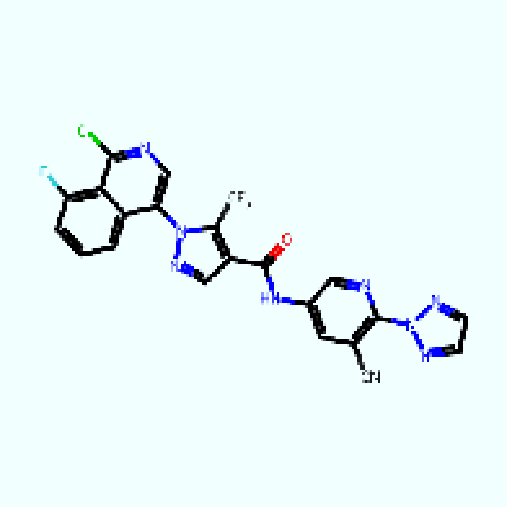 N#Cc1cc(NC(=O)c2cnn(-c3cnc(Cl)c4c(F)cccc34)c2C(F)(F)F)cnc1-n1nccn1